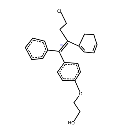 OCCOc1ccc(/C(=C(/CCCl)C2=CC=CCC2)c2ccccc2)cc1